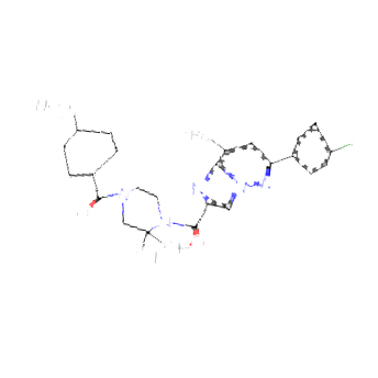 CC(C)(C)c1cc(-c2ccc(F)cc2)nn2cc(C(=O)N3CCN(C(=O)C4CCC(C(=O)O)CC4)CC3(C)C)nc12